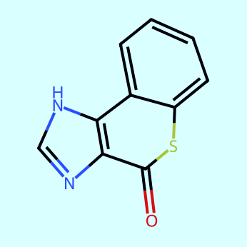 O=c1sc2ccccc2c2[nH]cnc12